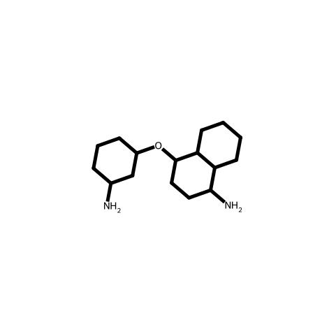 NC1CCCC(OC2CCC(N)C3CCCCC23)C1